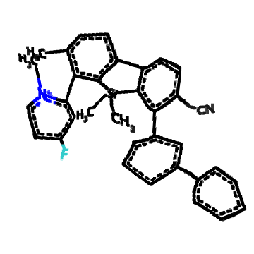 Cc1ccc2c(c1-c1cc(F)cc[n+]1C)[Si](C)(C)c1c-2ccc(C#N)c1-c1cccc(-c2ccccc2)c1